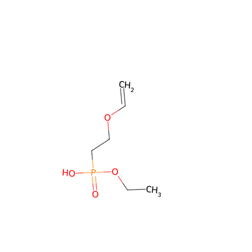 C=COCCP(=O)(O)OCC